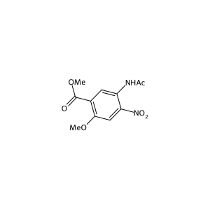 COC(=O)c1cc(NC(C)=O)c([N+](=O)[O-])cc1OC